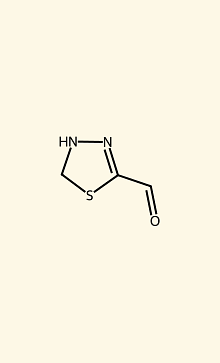 O=CC1=NNCS1